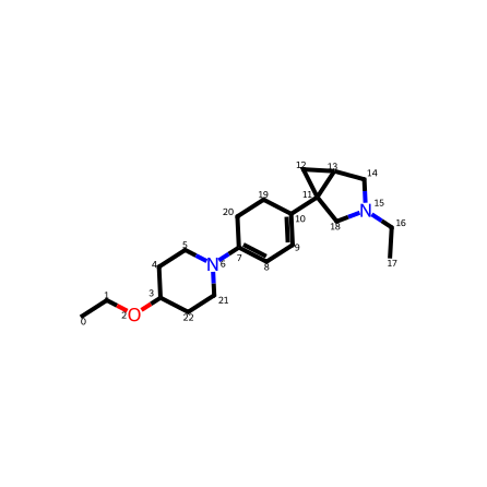 CCOC1CCN(C2=CC=C(C34CC3CN(CC)C4)CC2)CC1